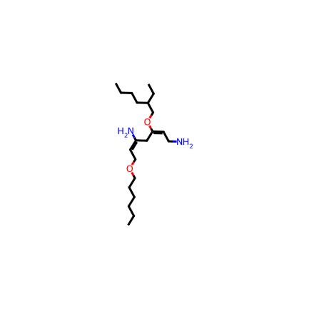 CCCCCCOC/C=C(/N)C/C(=C\CN)OCC(CC)CCCC